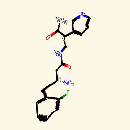 CNC(=O)[C@H](CNC(=O)C[C@H](N)Cc1ccccc1F)c1cccnc1